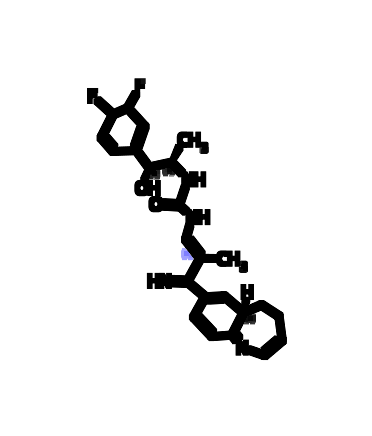 C/C(=C\NC(=O)N[C@H](C)[C@@H](O)C1=CC(F)C(F)C=C1)C(=N)C1=C[C@@H]2CCC=CN=C2C=C1